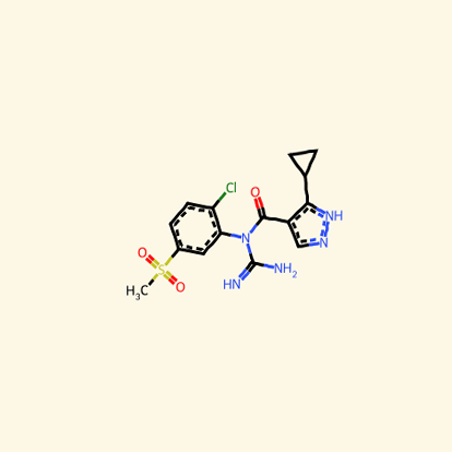 CS(=O)(=O)c1ccc(Cl)c(N(C(=N)N)C(=O)c2cn[nH]c2C2CC2)c1